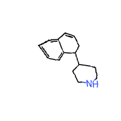 C1=Cc2ccccc2C(C2CCNCC2)C1